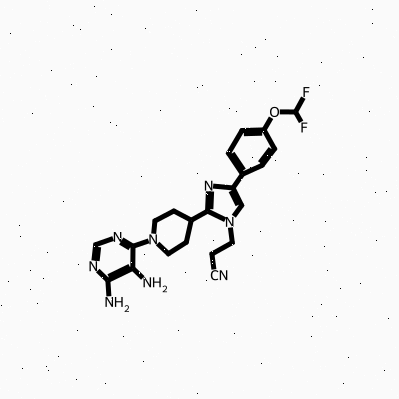 N#CCCn1cc(-c2ccc(OC(F)F)cc2)nc1C1CCN(c2ncnc(N)c2N)CC1